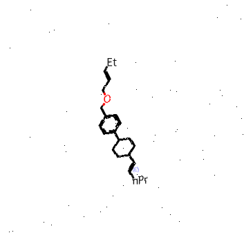 CCC=CCOCc1ccc(C2CCC(/C=C/CCC)CC2)cc1